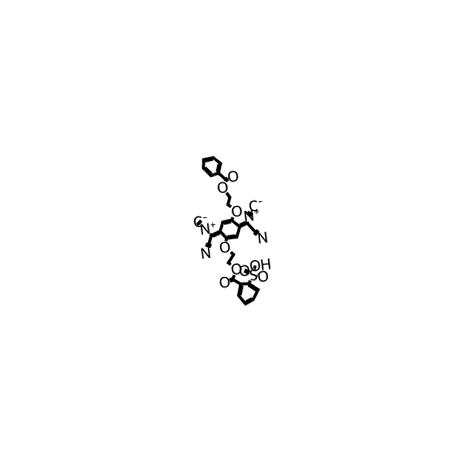 [C-]#[N+]/C(C#N)=c1/cc(OCCOC(=O)c2ccccc2S(=O)(=O)O)/c(=C(\C#N)[N+]#[C-])cc1OCCOC(=O)c1ccccc1